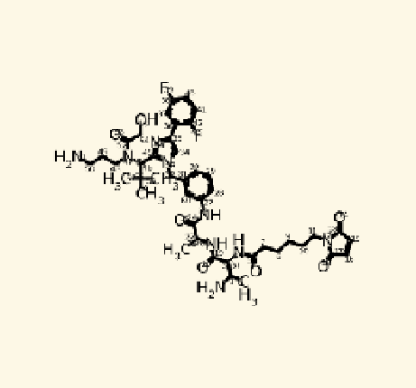 CC(N)[C@H](NC(=O)CCCCCN1C(=O)C=CC1=O)C(=O)N[C@@H](C)C(=O)Nc1cccc(Cn2cc(-c3cc(F)ccc3F)nc2[C@H](N(CCCN)C(=O)CO)C(C)(C)C)c1